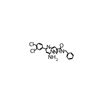 Nc1cc(-c2ccc(Cl)c(Cl)c2)nc2cc(C(=O)NCc3ccccc3)nn12